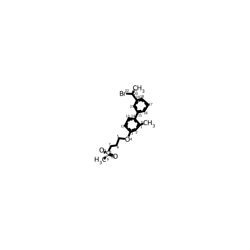 Cc1cc(OCCCS(C)(=O)=O)ccc1-c1cccc(C(C)Br)c1